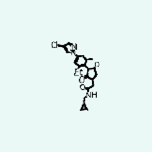 CCc1cc(-n2cc(Cl)cn2)cc(C)c1C1C(=O)CC(CC(=O)NCC2CC2)C1=O